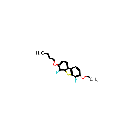 CCCCOc1ccc2c(sc3c(F)c(OCC)ccc32)c1F